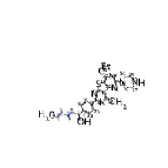 C/C=C/C=C/C(O)c1ccc(-c2nc(C)c3c(n2)sc2c(OCC)nc(N4CCNCC4)nc23)cc1